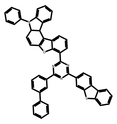 C1=CC2C(c3ccccc3N2c2ccccc2)c2c1oc1c(-c3nc(-c4cccc(-c5ccccc5)c4)nc(-c4ccc5c(c4)sc4ccccc45)n3)cccc21